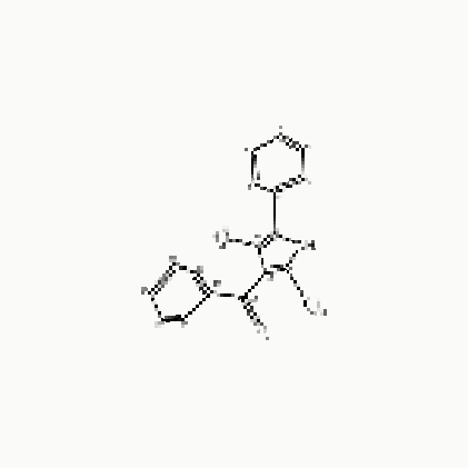 Cc1[nH]c(-c2ccccc2)c(N)c1C(=O)c1ccccc1